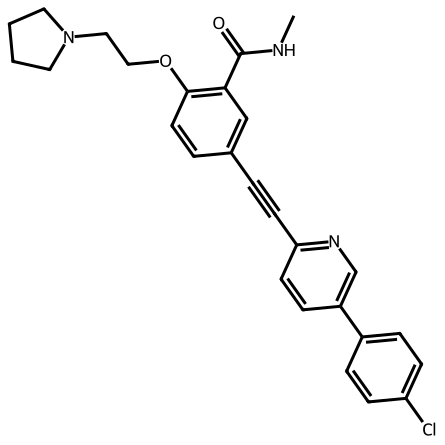 CNC(=O)c1cc(C#Cc2ccc(-c3ccc(Cl)cc3)cn2)ccc1OCCN1CCCC1